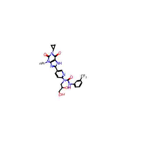 CCCn1c(=O)n(C2CC2)c(=O)c2[nH]c(-c3ccc(N(CC(O)CO)C(=O)Nc4cccc(C(F)(F)F)c4)nc3)nc21